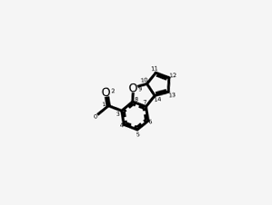 CC(=O)c1cccc2c1OC1C=CC=C21